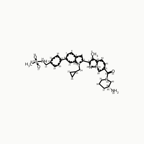 Cc1c(-c2cc3ccc(-c4ccc(CNS(C)(=O)=O)cc4)cc3n2CC2CC2)nn2cc(C(=O)N3CCC[C@@H](N)C3)ccc12